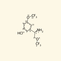 Cl.N[C@@H](COC(F)(F)F)c1cccc(OC(F)(F)F)c1